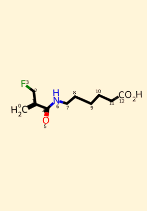 C=C(CF)C(=O)NCCCCCC(=O)O